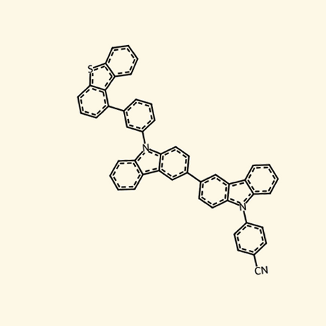 N#Cc1ccc(-n2c3ccccc3c3cc(-c4ccc5c(c4)c4ccccc4n5-c4cccc(-c5cccc6sc7ccccc7c56)c4)ccc32)cc1